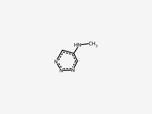 CNc1[c]nnnc1